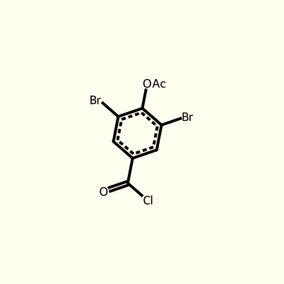 CC(=O)Oc1c(Br)cc(C(=O)Cl)cc1Br